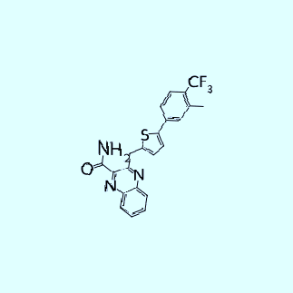 Cc1cc(-c2ccc(Cc3nc4ccccc4nc3C(N)=O)s2)ccc1C(F)(F)F